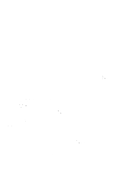 CCOC(=O)C(=O)N(c1ccc2c(c1)N(c1ccccc1)CCO2)c1c(C(=O)OC)csc1[N+](=O)[O-]